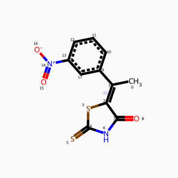 C/C(=C1/SC(=S)NC1=O)c1cccc([N+](=O)[O-])c1